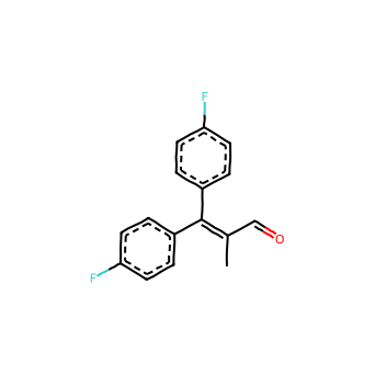 CC(C=O)=C(c1ccc(F)cc1)c1ccc(F)cc1